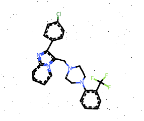 FC(F)(F)c1c[c]ccc1N1CCN(Cc2c(-c3ccc(Cl)cc3)nc3ccccn23)CC1